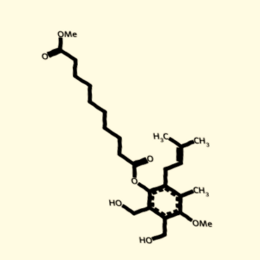 COC(=O)CCCCCCCCC(=O)Oc1c(CC=C(C)C)c(C)c(OC)c(CO)c1CO